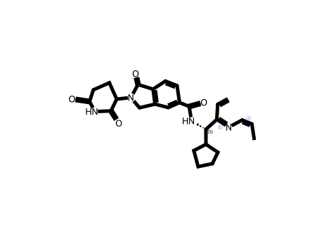 C=C/C(=N\C=C/C)[C@@H](NC(=O)c1ccc2c(c1)CN(C1CCC(=O)NC1=O)C2=O)C1CCCC1